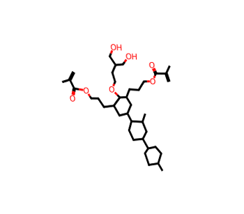 C=C(C)C(=O)OCCCC1CC(C2CCC(C3CCC(C)CC3)CC2C)CC(CCCOC(=O)C(=C)C)C1OCCC(CO)CO